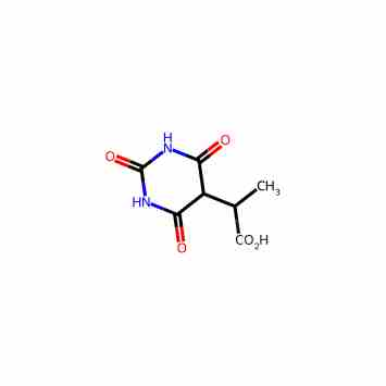 CC(C(=O)O)C1C(=O)NC(=O)NC1=O